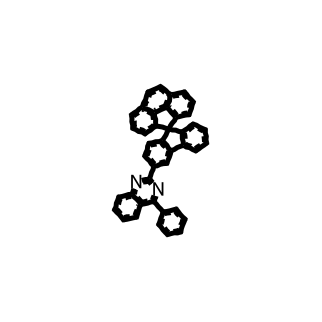 c1ccc(-c2nc(-c3ccc4c(c3)-c3ccccc3C43c4cccc5ccc6cccc3c6c45)nc3ccccc23)cc1